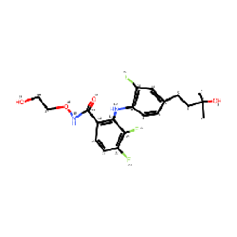 CC(C)(O)CCc1ccc(Nc2c(C(=O)NOCCO)ccc(F)c2F)c(F)c1